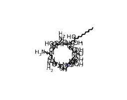 C/C=C1\NC(=O)C(C(C)O)NC(=O)C(CCN)NC(=O)C(CCCCN)NC(=O)C(CC(=O)O)NC(=O)C(CCN)NC(=O)C(NC(=O)CC(O)C(O)CCCCCCCCCC)COC(=O)C(C(O)CCl)NC(=O)C(C(O)C(=O)O)NC1=O